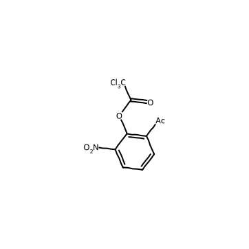 CC(=O)c1cccc([N+](=O)[O-])c1OC(=O)C(Cl)(Cl)Cl